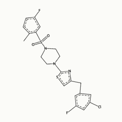 Cc1ccc(F)cc1S(=O)(=O)N1CCN(c2nc(Cc3cc(F)cc(Cl)c3)cs2)CC1